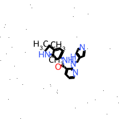 CC1(C)CNC2(C)CC(NC(=O)c3cccnc3NCc3ccncc3)=CC=C12